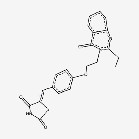 CCc1nc2ccccc2c(=O)n1CCOc1ccc(/C=C2\SC(=O)NC2=O)cc1